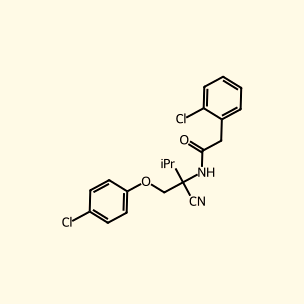 CC(C)C(C#N)(COc1ccc(Cl)cc1)NC(=O)Cc1ccccc1Cl